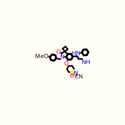 COc1ccc(CN2C(=O)C3(CCC3)c3cc(/C(=C/C=N)Nc4ccccc4)cc(OC4CCS(=O)(=NC#N)CC4)c32)cc1